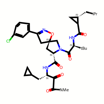 CNC(=O)C(=O)[C@H](CC1CC1)NC(=O)[C@@H]1C[C@]2(CC(c3cccc(Cl)c3)=NO2)CN1C(=O)[C@@H](NC(=O)C1C[C@@H]1CC(C)C)C(C)(C)C